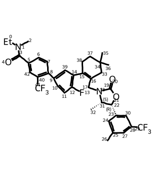 CCN(C)C(=O)c1ccc(-c2ccc(F)c(C3=C(CN4C(=O)O[C@H](c5cc(C)cc(C(F)(F)F)c5)[C@@H]4C)CC(C)(C)CC3)c2)c(C(F)(F)F)c1